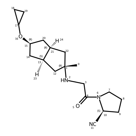 C[C@@]1(NCC(=O)N2CCC[C@H]2C#N)C[C@H]2C[C@@H](OC3CC3)C[C@H]2C1